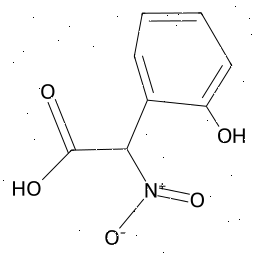 O=C(O)C(c1ccccc1O)[N+](=O)[O-]